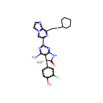 C[C@@]1(c2ccc(O)c(Cl)c2)C(=O)Nc2nc(-c3cn4ccnc4c(CCC4CCCCC4)n3)nc(N)c21